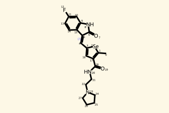 Cc1[se]c(/C=C2\C(=O)Nc3cc(F)ccc32)cc1C(=O)NCCN1CCCC1